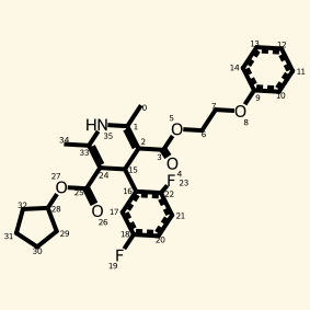 CC1=C(C(=O)OCCOc2ccccc2)C(c2cc(F)ccc2F)C(C(=O)OC2CCCC2)=C(C)N1